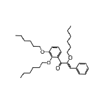 CCCCCCOC(=Cc1ccccc1)C(=O)c1cccc(OCCCCCC)c1OCCCCCC